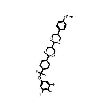 CCCCCc1ccc(C2COC(C3COC(C4CCC(C(F)(F)Oc5cc(F)c(F)c(F)c5)CC4)OC3)OC2)cc1